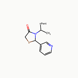 CCCCCC(C)N1C(=O)CSC1c1cccnc1